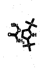 CC(C)(C)OC(N)=O.C[Si](C)(C)C1CCC([Si](C)(C)C)N1